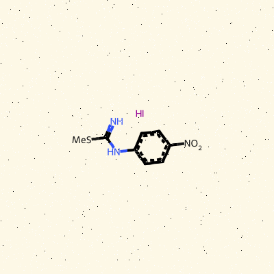 CSC(=N)Nc1ccc([N+](=O)[O-])cc1.I